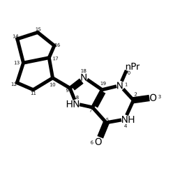 CCCn1c(=O)[nH]c(=O)c2[nH]c(C3CCC4CCCC43)nc21